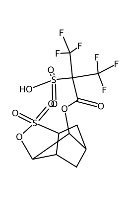 O=C(OC1C2CC3C1OS(=O)(=O)C3C2)C(C(F)(F)F)(C(F)(F)F)S(=O)(=O)O